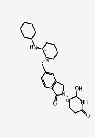 O=C1CC[C@H](N2Cc3cc(C[C@H]4CCCC[C@@H]4NC4CCCCC4)ccc3C2=O)C(O)N1